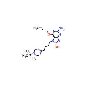 CCCCOc1nc(N)nc2nc(O)n(CCCCN3CCN(C(C)(C)C)CC3)c12